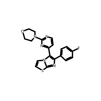 Fc1ccc(-c2nc3sccn3c2-c2ccnc(N3CCOCC3)n2)cc1